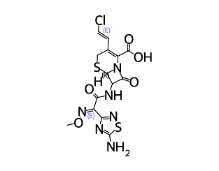 CO/N=C(/C(=O)NC1C(=O)N2C(C(=O)O)=C(/C=C/Cl)CS[C@H]12)c1nsc(N)n1